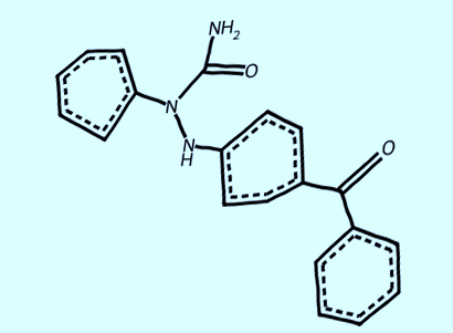 NC(=O)N(Nc1ccc(C(=O)c2ccccc2)cc1)c1ccccc1